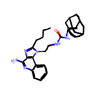 CCCCc1nc2c(N)nc3ccccc3c2n1CCNC(=O)NC12CC3CC(CC(C3)C1)C2